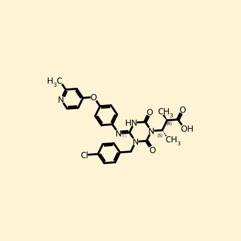 Cc1cc(Oc2ccc(/N=c3\[nH]c(=O)n([C@@H](C)[C@@H](C)C(=O)O)c(=O)n3Cc3ccc(Cl)cc3)cc2)ccn1